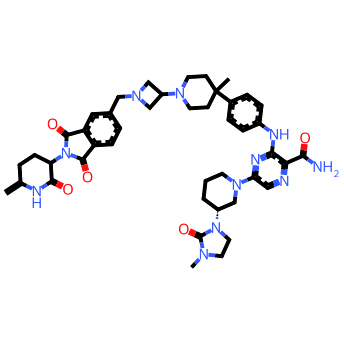 C=C1CCC(N2C(=O)c3ccc(CN4CC(N5CCC(C)(c6ccc(Nc7nc(N8CCC[C@@H](N9CCN(C)C9=O)C8)cnc7C(N)=O)cc6)CC5)C4)cc3C2=O)C(=O)N1